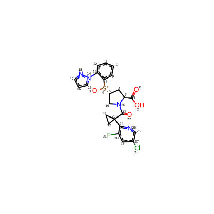 O=C(O)[C@@H]1C[C@@H]([S+]([O-])c2ccccc2-n2cccn2)CN1C(=O)C1(c2ncc(Cl)cc2F)CC1